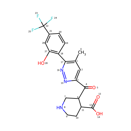 Cc1cc(C(=O)C2CNCCC2C(=O)O)nnc1-c1ccc(C(F)(F)F)cc1O